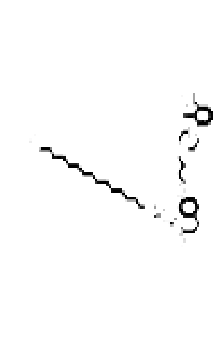 CCCCCCCCCCCCCCCCOCOCN1C(=O)CCc2ccc(OCCCCN3CCN(c4cccc(Cl)c4Cl)CC3)cc21